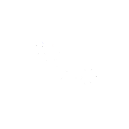 O=C(/C=C/C(=O)OC1CCNC1=O)OCc1ccccc1